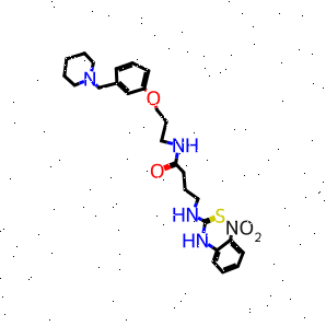 O=C(CCCNC(=S)Nc1ccccc1[N+](=O)[O-])NCCCOc1cccc(CN2CCCCC2)c1